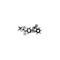 CC(C)(C)OC(=O)NC1CCC(CNc2ccccc2[N+](=O)[O-])CC1